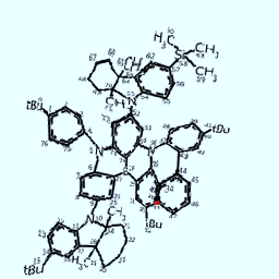 CC(C)(C)c1ccc(N2c3ccc(N4c5ccc(C(C)(C)C)cc5C5(C)CCCCC45C)cc3B3c4cc(C(C)(C)C)ccc4N(c4ccc(C(C)(C)C)cc4-c4ccccc4)c4cc(N5c6ccc([Si](C)(C)C)cc6C6(C)CCCCC56C)cc2c43)cc1